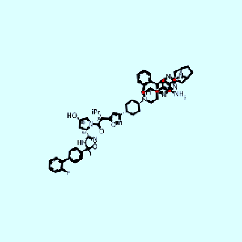 CC(C)[C@@H](C(=O)N1C[C@H](O)C[C@H]1C1=NO[C@](C)(c2ccc(-c3ccccc3F)cc2)N1)c1cc([C@H]2CC[C@@H](N3CCC(c4cnc(N5C6CCC5CN(c5cc(-c7ccccc7O)nnc5N)C6)nc4)CC3)CC2)no1